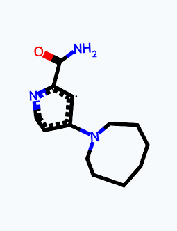 NC(=O)c1[c]c(N2CCCCCCC2)ccn1